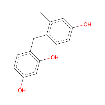 Cc1cc(O)ccc1Cc1ccc(O)cc1O